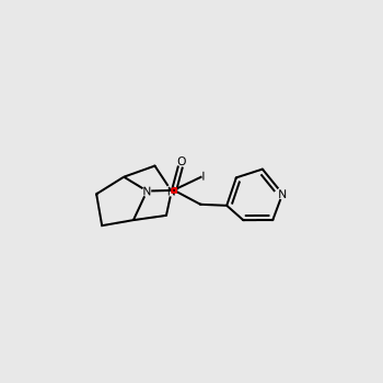 O=C(Cc1ccncc1)N1C2CCC1CN(I)C2